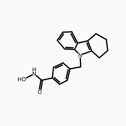 O=C(NO)c1ccc(Cn2c3c(c4ccccc42)CCCC3)cc1